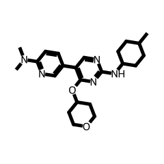 CC1CCC(Nc2ncc(-c3ccc(N(C)C)nc3)c(OC3CCOCC3)n2)CC1